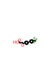 O=C(O)CCC(=O)c1ccc(-c2ccc(C(F)(F)F)cc2)cc1